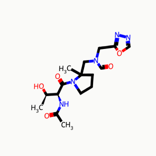 CC(=O)N[C@H](C(=O)N1CCCC1(C)CN(C=O)Cc1nnco1)[C@@H](C)O